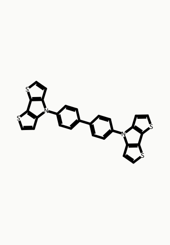 c1cc2c(s1)c1sccc1n2-c1ccc(-c2ccc(-n3c4ccsc4c4sccc43)cc2)cc1